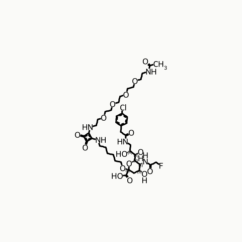 CC(=O)NCCOCCOCCOCCOCCNc1c(NCCCCCCO[C@]2(C(=O)O)C[C@H](O)[C@@H](NC(=O)CF)[C@H]([C@H](O)[C@H](O)CNC(=O)Cc3ccc(Cl)cc3)O2)c(=O)c1=O